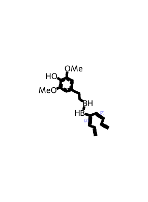 C=C/C=C\C(BBCCc1cc(OC)c(O)c(OC)c1)=C/C=C